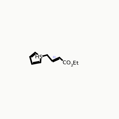 CCOC(=O)/C=C/C[SH]1C=CC=C1